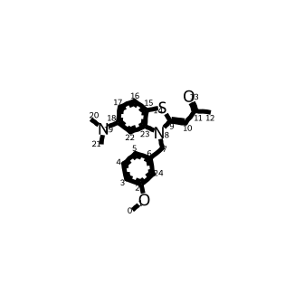 COc1cccc(CN2/C(=C/C(C)=O)Sc3ccc(N(C)C)cc32)c1